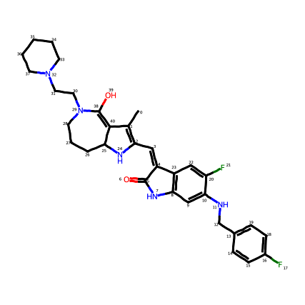 CC1=C(/C=C2\C(=O)Nc3cc(NCc4ccc(F)cc4)c(F)cc32)NC2CCCN(CCN3CCCCC3)C(O)=C12